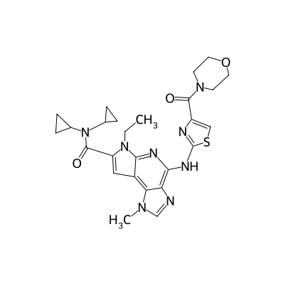 CCn1c(C(=O)N(C2CC2)C2CC2)cc2c3c(ncn3C)c(Nc3nc(C(=O)N4CCOCC4)cs3)nc21